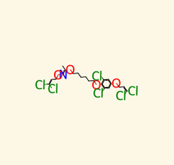 CC(=NOCC=C(Cl)Cl)OCCCCCCOc1c(Cl)cc(OCC=C(Cl)Cl)cc1Cl